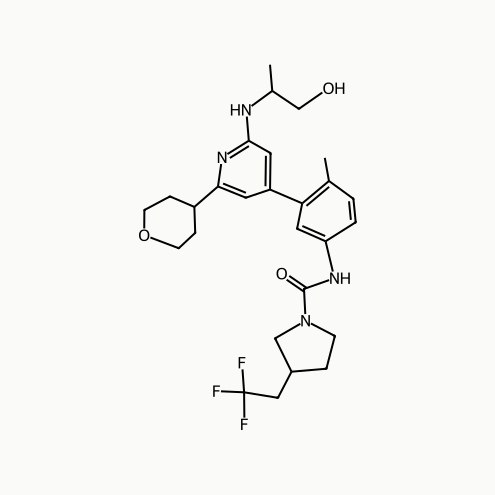 Cc1ccc(NC(=O)N2CCC(CC(F)(F)F)C2)cc1-c1cc(NC(C)CO)nc(C2CCOCC2)c1